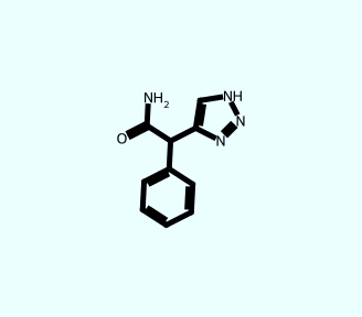 NC(=O)C(c1ccccc1)c1c[nH]nn1